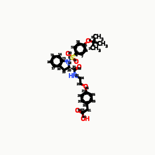 CC(C)(C)Oc1ccc(S(=O)(=O)N2c3ccccc3C[C@H]2C(=O)NCCOc2ccc(CC(=O)O)cc2)cc1